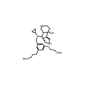 COCCCc1cc(CN(C(=O)[C@H]2CNCC[C@]2(O)c2c[nH]nn2)C2CC2)cc(OCCOC)c1